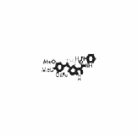 C=C(c1cc(OC)c(OC)c(OC)c1)c1ccc2[nH]cc(C(=O)Nc3ccccc3N)c2c1